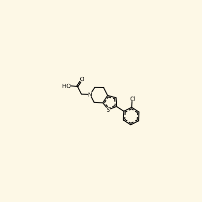 O=C(O)CN1CCc2cc(-c3ccccc3Cl)sc2C1